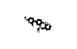 COc1ccc(-c2ccc3c(c2)N(C=O)Cc2cccnc2N3)c(C)n1